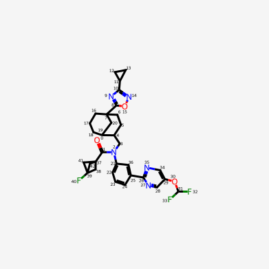 O=C(N(CC1CCC2(c3nc(C4CC4)no3)CCCC1C2)c1cccc(-c2ncc(OC(F)F)cn2)c1)C12CC(F)(C1)C2